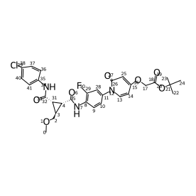 COC[C@@H]1[C@@H](C(=O)Nc2ccc(-n3ccc(OCC(=O)OC(C)(C)C)cc3=O)cc2F)[C@H]1C(=O)Nc1ccc(Cl)cc1